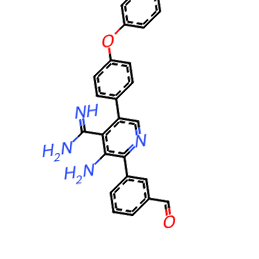 N=C(N)c1c(-c2ccc(Oc3ccccc3)cc2)cnc(-c2cccc(C=O)c2)c1N